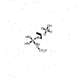 C=CC.CCCC[N+](CCCC)(CCCC)CCCC.O=C([O-])O.[O-][Cl+3]([O-])([O-])O